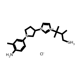 Cc1cc(N2CCC(n3cc[n+](C(C)(C)C(C)C[SiH3])c3)C2)ccc1N.[Cl-]